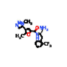 Cc1oc(C(=O)N[C@H](CN)Cc2ccccc2C(F)(F)F)cc1-c1cnnn1C